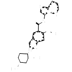 COc1cc2nn([C@@H]3CC[C@H](O)C[C@H]3C)cc2cc1C(=O)Nc1cnc2cccnn12